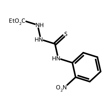 CCOC(=O)NNC(=S)Nc1ccccc1[N+](=O)[O-]